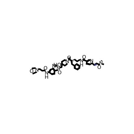 CN(C)C(=O)/C=C/c1ccc(C(=O)NCCC[C@@H](Cc2ccccc2)C(=O)N2CCC(O)(Cn3cnc4cc(NC(=O)CCN5CCOCC5)ccc4c3=O)CC2)cn1